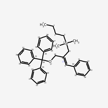 CCCC[Si](C)(C)[CH]/C(=C\c1ccccc1)COC(c1ccccc1)(c1ccccc1)c1ccccc1